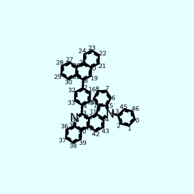 c1ccc(-n2c3ccccc3c3c4c(-c5ccc(-c6cc7ccccc7c7ccccc67)cc5)nc5ccccc5c4ccc32)cc1